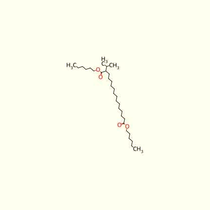 CCCCCCOC(=O)CCCCCCCCCCCCCC(C(=O)OCCCCCC)C(C)C